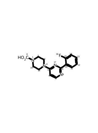 O=C(O)N1CCN(c2ccnc(-c3ccccc3F)n2)CC1